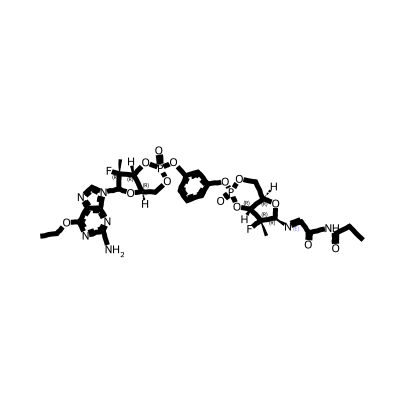 CCOc1nc(N)nc2c1ncn2C1O[C@@H]2COP(=O)(Oc3cccc(OP4(=O)OC[C@H]5O[C@@H](/N=C/C(=O)NC(=O)CC)[C@](C)(F)[C@@H]5O4)c3)O[C@H]2[C@@]1(C)F